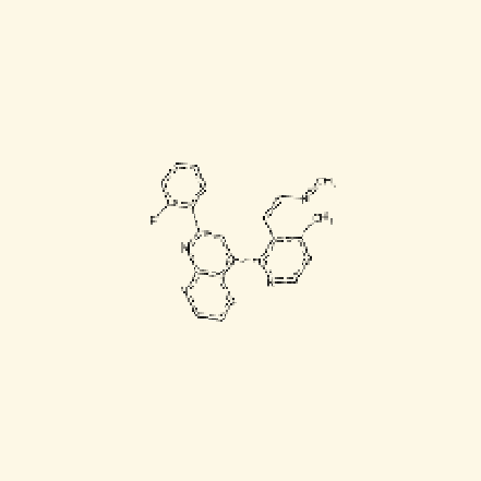 C=N/C=C\c1c(C)ccnc1-c1cc(-c2ccccc2F)nc2ncccc12